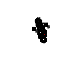 CC1c2cnccc2C=CC1C1CC[C@@H]2C1(C)CC=C1C=C3CCCC[C@]34CC[C@@]12O4